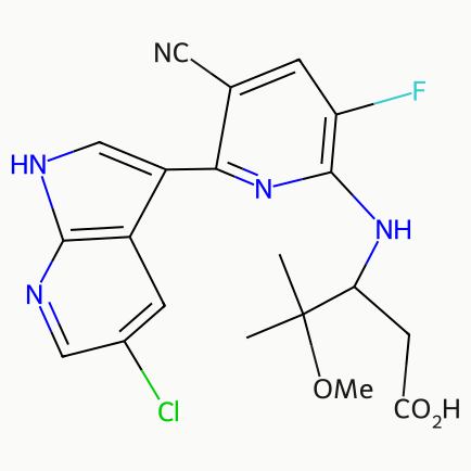 COC(C)(C)C(CC(=O)O)Nc1nc(-c2c[nH]c3ncc(Cl)cc23)c(C#N)cc1F